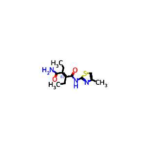 CC/C(C(N)=O)=C(/CC)C(=O)Nc1nc(C)cs1